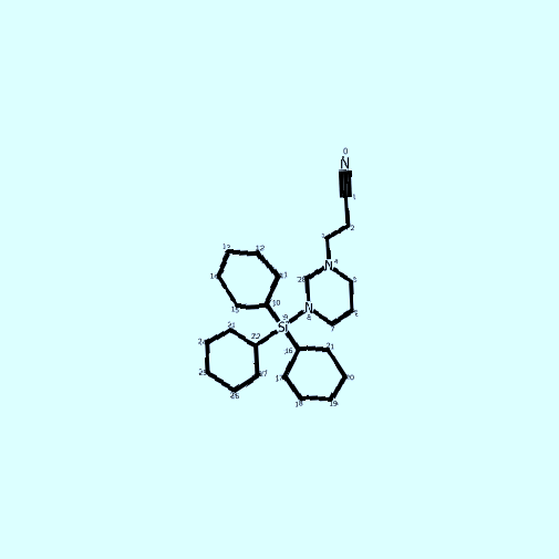 N#CCCN1CCCN([Si](C2CCCCC2)(C2CCCCC2)C2CCCCC2)C1